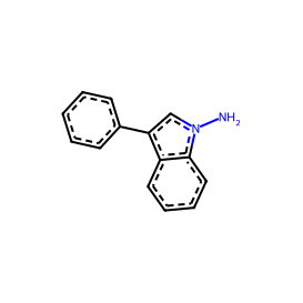 Nn1cc(-c2ccccc2)c2ccccc21